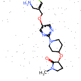 CN1CC[C@H](OC2CCN(c3ncc(OC/C(=C/F)CN)cn3)CC2)C1=O